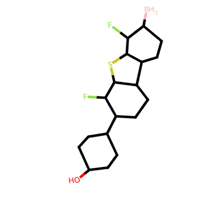 BC1CCC2C3CCC(C4CCC(O)CC4)C(F)C3SC2C1F